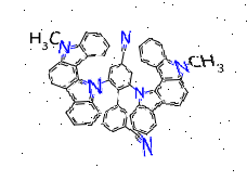 Cn1c2ccccc2c2c1ccc1c3ccccc3n(-c3cc(C#N)cc(-n4c5ccccc5c5ccc6c(c7ccccc7n6C)c54)c3-c3cccc(C#N)c3)c12